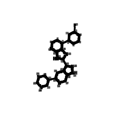 Fc1cccc(-c2ccnc3[nH]c(-c4n[nH]c5cnc(-c6cncnc6)cc45)nc23)c1